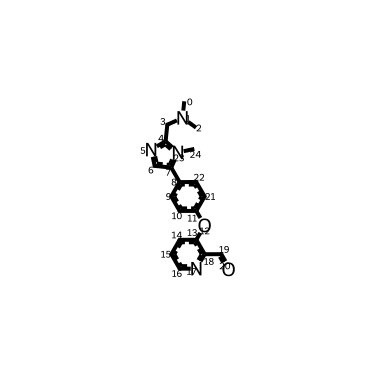 CN(C)Cc1ncc(-c2ccc(Oc3cccnc3C=O)cc2)n1C